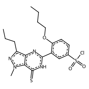 CCCCOc1ccc(S(=O)(=O)Cl)cc1-c1nc2c(CCC)nn(C)c2c(=S)[nH]1